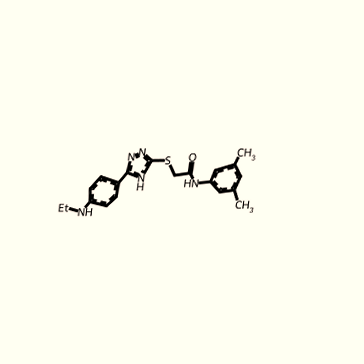 CCNc1ccc(-c2nnc(SCC(=O)Nc3cc(C)cc(C)c3)[nH]2)cc1